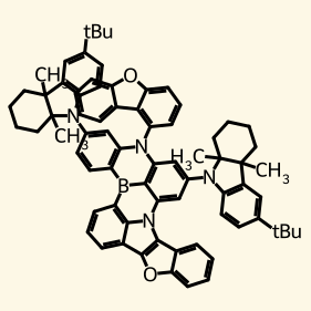 CC(C)(C)c1ccc2c(c1)C1(C)CCCCC1(C)N2c1ccc2c(c1)N(c1cccc3oc4ccccc4c13)c1cc(N3c4ccc(C(C)(C)C)cc4C4(C)CCCCC34C)cc3c1B2c1cccc2c4oc5ccccc5c4n-3c12